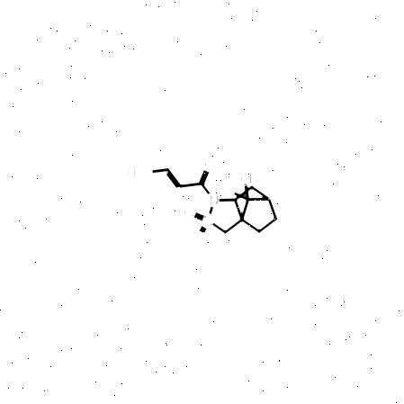 C/C=C/C(=O)N1C2CC3CCC2(CS1(=O)=O)C3(C)C